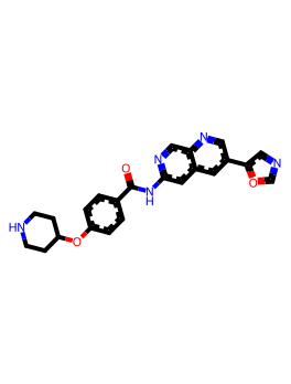 O=C(Nc1cc2cc(-c3cnco3)cnc2cn1)c1ccc(OC2CCNCC2)cc1